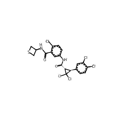 O=C(NC1CSC1)c1cc(NC(=O)[C@@H]2[C@@H](c3ccc(Cl)c(Cl)c3)C2(Cl)Cl)ccc1Cl